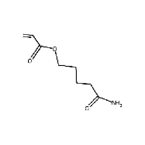 C=CC(=O)OCCCCC(N)=O